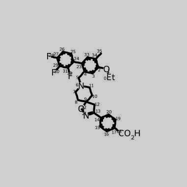 CCOc1cc(CN2CCC3(CC2)CC(c2ccc(C(=O)O)cc2)=NO3)c(-c2ccc(F)c(F)c2F)cc1C